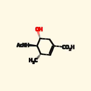 CC(=O)N[C@H]1[C@H](O)CC(C(=O)O)=C[C@@H]1C